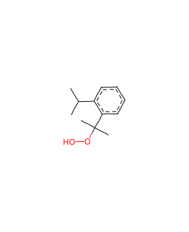 CC(C)c1ccccc1C(C)(C)OO